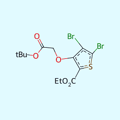 CCOC(=O)c1sc(Br)c(Br)c1OCC(=O)OC(C)(C)C